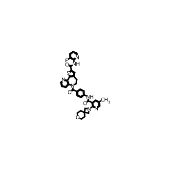 Cc1cnc(N2CC3(CCOCC3)C2)c(C(=O)Nc2ccc(C(=O)N3CCc4cc(C(=O)Nc5ncccc5F)sc4-c4ncccc43)cc2)c1